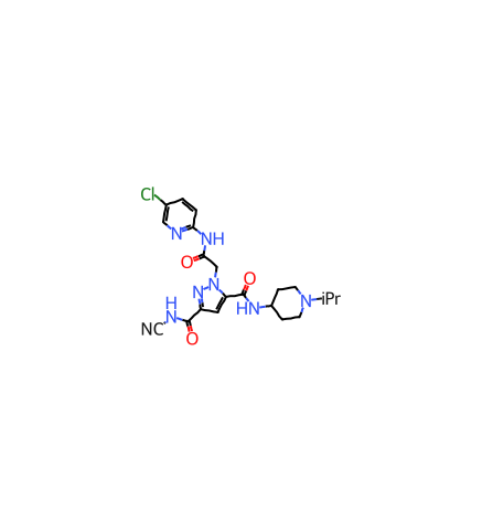 CC(C)N1CCC(NC(=O)c2cc(C(=O)NC#N)nn2CC(=O)Nc2ccc(Cl)cn2)CC1